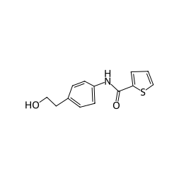 O=C(Nc1ccc(CCO)cc1)c1cccs1